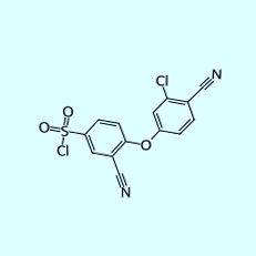 N#Cc1ccc(Oc2ccc(S(=O)(=O)Cl)cc2C#N)cc1Cl